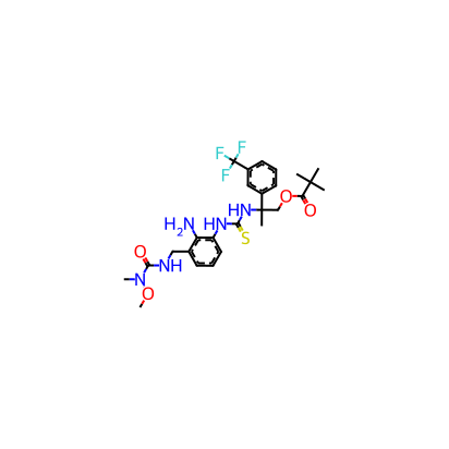 CON(C)C(=O)NCc1cccc(NC(=S)NC(C)(COC(=O)C(C)(C)C)c2cccc(C(F)(F)F)c2)c1N